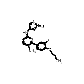 CCCOc1ccc(-c2nc(Nc3cnn(C)c3)ncc2C)cc1F